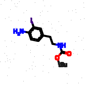 CC(C)(C)OC(=O)NCCc1ccc(N)c(I)c1